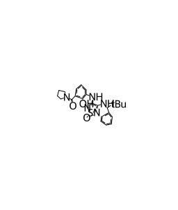 CC(C)(C)C(Nc1n[s+]([O-])nc1Nc1cccc(C(=O)N2CCCC2)c1O)c1ccccc1